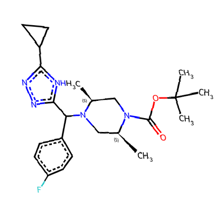 C[C@H]1CN(C(c2ccc(F)cc2)c2nnc(C3CC3)[nH]2)[C@@H](C)CN1C(=O)OC(C)(C)C